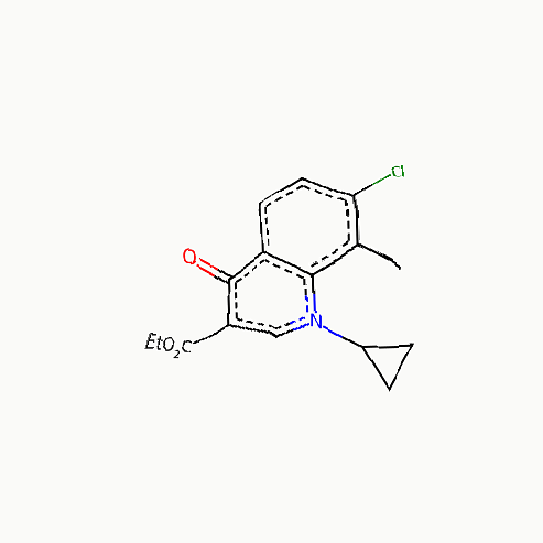 CCOC(=O)c1cn(C2CC2)c2c(C)c(Cl)ccc2c1=O